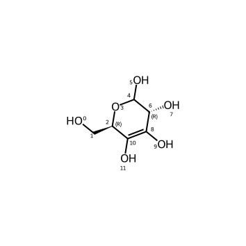 OC[C@H]1OC(O)[C@H](O)C(O)=C1O